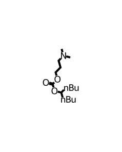 CCCCC(CCCC)OC(=O)OCCCN(C)C